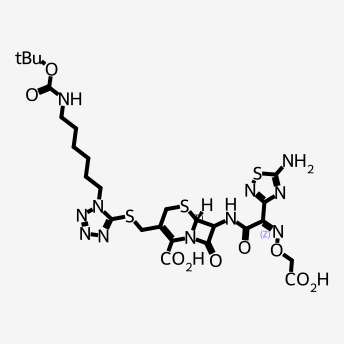 CC(C)(C)OC(=O)NCCCCCCn1nnnc1SCC1=C(C(=O)O)N2C(=O)C(NC(=O)/C(=N\OCC(=O)O)c3nsc(N)n3)[C@H]2SC1